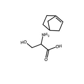 C1=C2CCC(C1)C2.NC(CO)C(=O)O